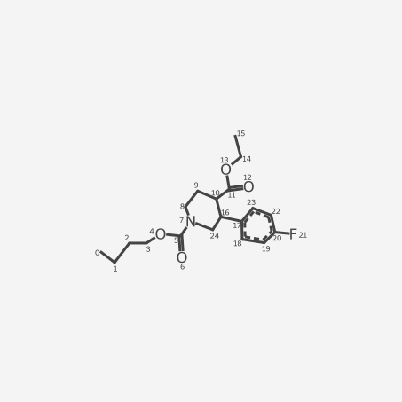 CCCCOC(=O)N1CCC(C(=O)OCC)C(c2ccc(F)cc2)C1